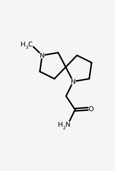 CN1CCC2(CCCN2CC(N)=O)C1